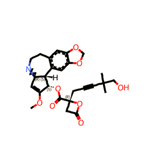 COC1=C[C@]23CCCN2CCc2cc4c(cc2[C@@H]3[C@@H]1OC(=O)[C@@]1(CC#CC(C)(C)CO)CC(=O)O1)OCO4